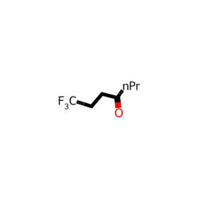 CCCC(=O)CCC(F)(F)F